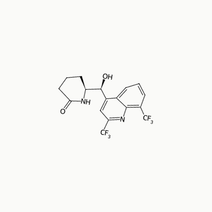 O=C1CCC[C@@H]([C@@H](O)c2cc(C(F)(F)F)nc3c(C(F)(F)F)cccc23)N1